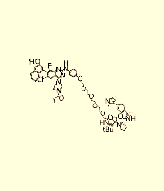 C=CC(=O)N1CCN(c2nc(Nc3ccc(OCCOCCOCCOCCOCC(=O)N[C@H](C(=O)N4CCC[C@H]4C(=O)N[C@@H](C)c4ccc(-c5scnc5C)cc4)C(C)(C)C)cc3)nc3c(F)c(-c4cc(O)cc5ccccc45)c(Cl)cc23)CC1